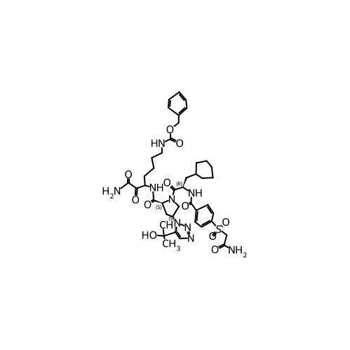 CC(C)(O)c1cnnn1[C@H]1C[C@@H](C(=O)NC(CCCCNC(=O)OCc2ccccc2)C(=O)C(N)=O)N(C(=O)[C@@H](CC2CCCCC2)NC(=O)c2ccc(S(=O)(=O)CC(N)=O)cc2)C1